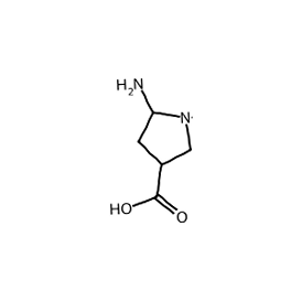 NC1CC(C(=O)O)C[N]1